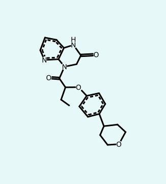 CCC(Oc1ccc(C2CCOCC2)cc1)C(=O)N1CC(=O)Nc2cccnc21